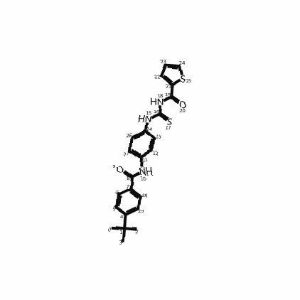 CC(C)(C)c1ccc(C(=O)Nc2ccc(NC(=S)NC(=O)c3cccs3)cc2)cc1